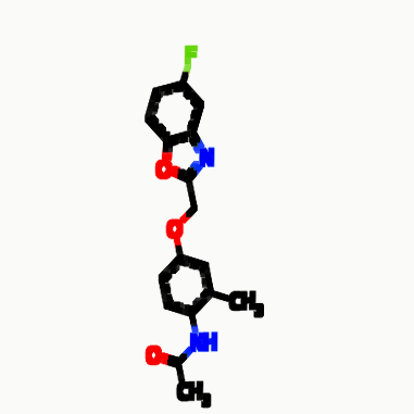 CC(=O)Nc1ccc(OCc2nc3cc(F)ccc3o2)cc1C